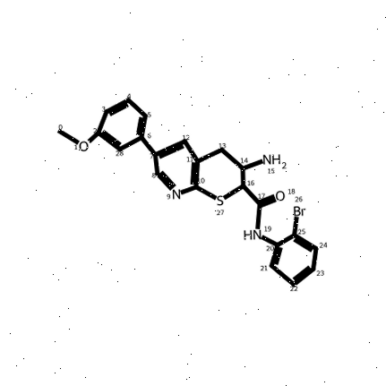 COc1cccc(-c2cnc3c(c2)CC(N)C(C(=O)Nc2ccccc2Br)S3)c1